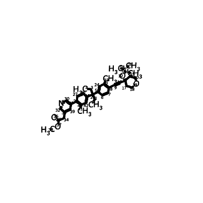 CCC(CC)(c1ccc(C#CC2(O[Si](C)(C)C)CCOCC2)c(C)c1)c1ccc(-c2cncc(CC(=O)OC)c2)c(C)c1